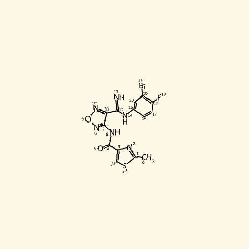 Cc1nc(C(=O)Nc2nonc2C(=N)Nc2ccc(F)c(Br)c2)cs1